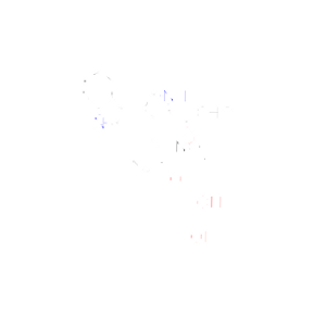 Cn1cc(-c2c[nH]c(C(=O)C=O)c2-c2cccc(OCC(O)CO)c2[N+](=O)[O-])c2ccccc21